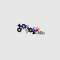 CN(C(=O)OC(C)(C)C)C1(c2ccc(-c3nc4ccc(C5(c6ccccc6)CC5)nc4s3)c(F)c2)CC1